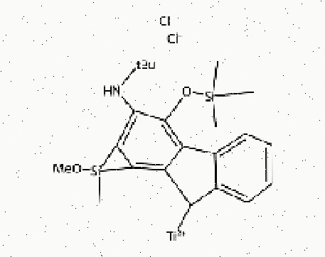 CO[Si]1(C)c2c(NC(C)(C)C)c(O[Si](C)(C)C)c3c(c21)[CH]([Ti+2])c1ccccc1-3.[Cl-].[Cl-]